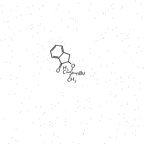 CCCC[Si](C)(C)OC1Cc2ccccc2C1=O